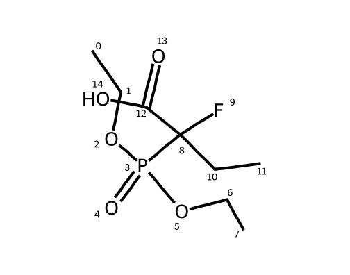 CCOP(=O)(OCC)C(F)(CC)C(=O)O